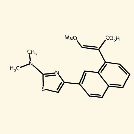 COC=C(C(=O)O)c1cccc2ccc(-c3csc(N(C)C)n3)cc12